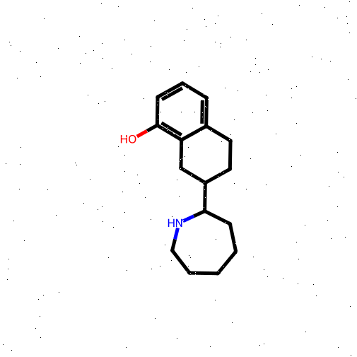 Oc1cccc2c1CC(C1CCCCCN1)CC2